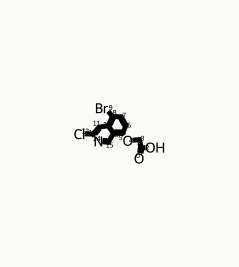 O=C(O)COc1ccc(Br)c2cc(Cl)ncc12